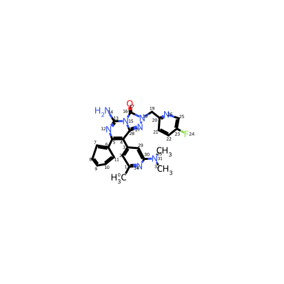 Cc1cc(-c2c(-c3ccccc3)nc(N)n3c(=O)n(Cc4ccc(F)cn4)nc23)cc(N(C)C)n1